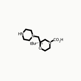 CC(C)(C)[C@]1(CN2CCNCC2)CN(C(=O)O)CCO1